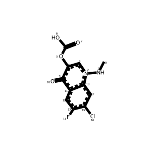 CNn1cc(OC(=O)O)c(=O)c2cc(F)c(Cl)cc21